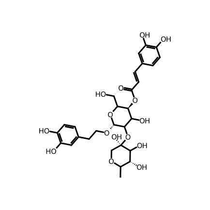 CC1OC[C@@](O)(OC2C(O)[C@H](OC(=O)/C=C/c3ccc(O)c(O)c3)C(CO)O[C@H]2OCCc2ccc(O)c(O)c2)C(O)[C@@H]1O